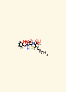 CC/C=C/C=C1\CSC(C(NC(=O)Cc2ccccc2)C(=O)O)N=C1C(=O)O